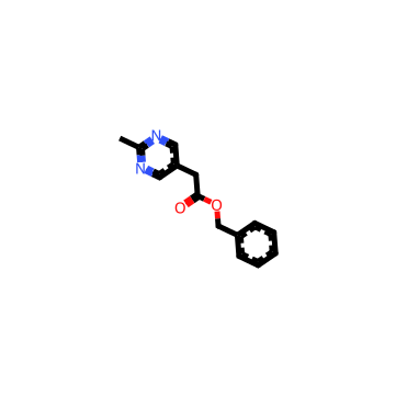 Cc1ncc(CC(=O)OCc2ccccc2)cn1